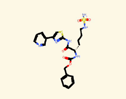 NS(=O)(=O)NCCCC[C@H](NC(=O)OCc1ccccc1)C(=O)Nc1nc(-c2cccnc2)cs1